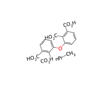 CCCC.O=C(O)c1cccc(Oc2cccc(C(=O)O)c2C(=O)O)c1C(=O)O